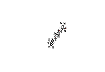 CC1(C)c2cc(/C=C3\C(=O)c4cc(C#N)c(C#N)cc4C3=C(C#N)C#N)sc2-c2sc(-c3c4c(c(-c5cc6c(s5)-c5sc(/C=C7\C(=O)c8cc(C#N)c(C#N)cc8C7=C(C#N)C#N)cc5C6(C)C)c5nsnc35)N=S=N4)cc21